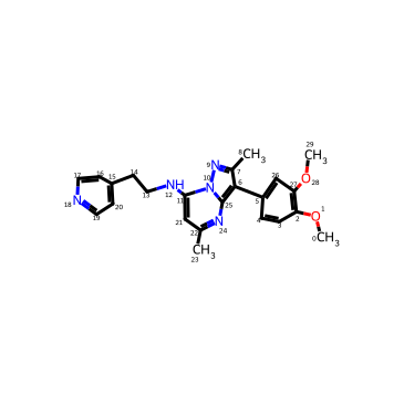 COc1ccc(-c2c(C)nn3c(NCCc4ccncc4)cc(C)nc23)cc1OC